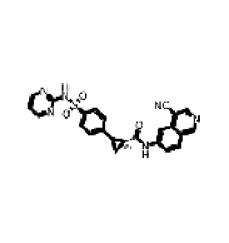 N#Cc1cncc2ccc(NC(=O)[C@@H]3CC3c3ccc(S(=O)(=O)Nc4ncccn4)cc3)cc12